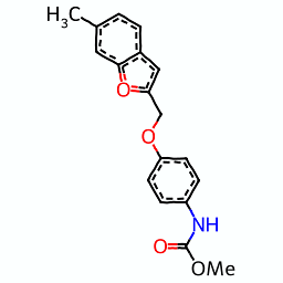 COC(=O)Nc1ccc(OCc2cc3ccc(C)cc3o2)cc1